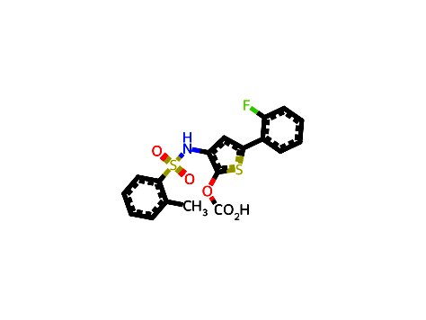 Cc1ccccc1S(=O)(=O)Nc1cc(-c2ccccc2F)sc1OC(=O)O